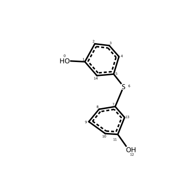 Oc1cccc(Sc2cccc(O)c2)c1